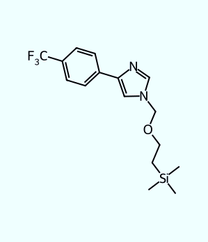 C[Si](C)(C)CCOCn1cnc(-c2ccc(C(F)(F)F)cc2)c1